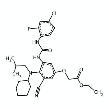 CCOC(=O)COc1cc(C#N)c(N(CC(C)C)C2CCCCC2)c(NC(=O)Nc2ccc(Cl)cc2F)c1